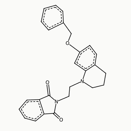 O=C1c2ccccc2C(=O)N1CCN1CCCc2ccc(OCc3ccccc3)cc21